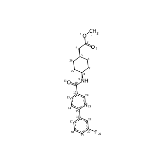 COC(=O)C[C@H]1CC[C@@H](NC(=O)c2ccc(-c3cccc(F)c3)nc2)CC1